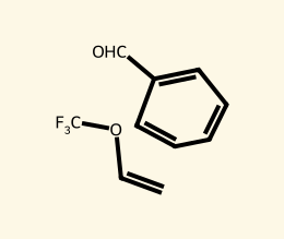 C=COC(F)(F)F.O=Cc1ccccc1